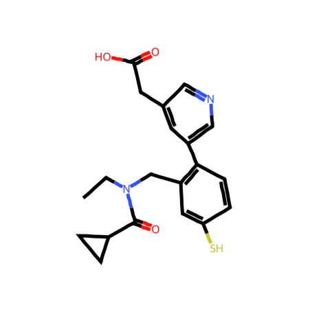 CCN(Cc1cc(S)ccc1-c1cncc(CC(=O)O)c1)C(=O)C1CC1